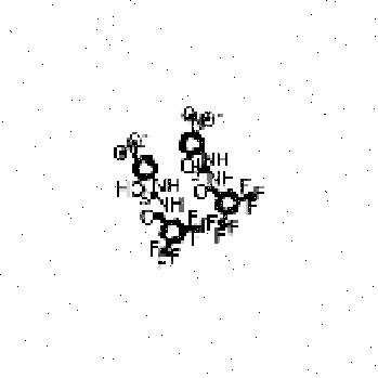 O=C(NC(=S)Nc1cc([N+](=O)[O-])ccc1O)c1cc(C(F)(F)F)cc(C(F)(F)F)c1.O=C(NC(=S)Nc1ccc([N+](=O)[O-])cc1O)c1cc(C(F)(F)F)cc(C(F)(F)F)c1